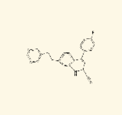 N#CC1C=C(c2ccc(F)cc2)c2ccc(CCc3cncnc3)cc2N1